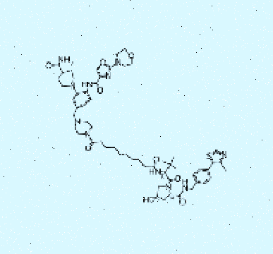 Cc1ncsc1-c1ccc(CNC(=O)[C@@H]2C[C@@H](O)CN2C(=O)[C@@H](NC(=O)CCCCCCCCC(=O)N2CCN(Cc3ccc(NC(=O)c4coc(N5CCOCC5)n4)c(N4CCC(C(N)=O)CC4)c3)CC2)C(C)(C)C)cc1